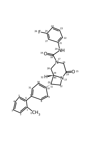 Cc1ccccc1-c1ccc([C@H]2CN3C(=O)CN(C(=O)Nc4cccc(F)c4)C[C@@H]23)cc1